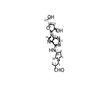 CC(C=O)CN1CC[C@@H](Nc2ncnc3c2ncn3[C@@H]2O[C@H](CO)C[C@H]2O)C1